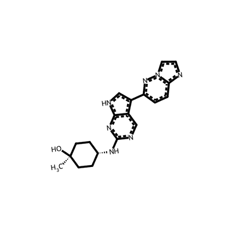 C[C@]1(O)CC[C@H](Nc2ncc3c(-c4ccc5nccn5n4)c[nH]c3n2)CC1